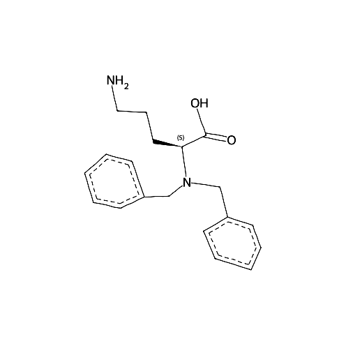 NCCC[C@@H](C(=O)O)N(Cc1ccccc1)Cc1ccccc1